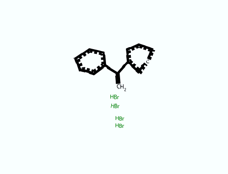 Br.Br.Br.Br.C=C(c1ccccc1)c1ccccc1